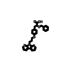 O=C(O)C(Cc1ccc(OCCCn2c3ncccc3c3cccnc32)cc1)OCc1ccccc1